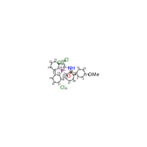 COc1ccc(C(=O)NC(=C(Cl)Cl)[P+](c2ccccc2)(c2ccccc2)c2ccccc2)cc1.[Cl-]